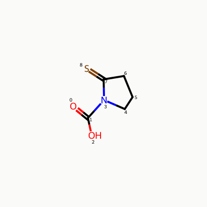 O=C(O)N1CCCC1=S